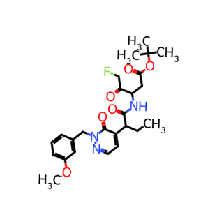 CCC(C(=O)NC(CC(=O)OC(C)(C)C)C(=O)CF)c1ccnn(Cc2cccc(OC)c2)c1=O